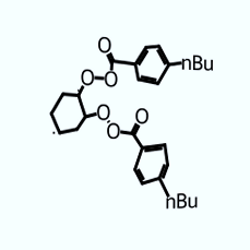 CCCCc1ccc(C(=O)OO[C]2CC[CH]CC2OOC(=O)c2ccc(CCCC)cc2)cc1